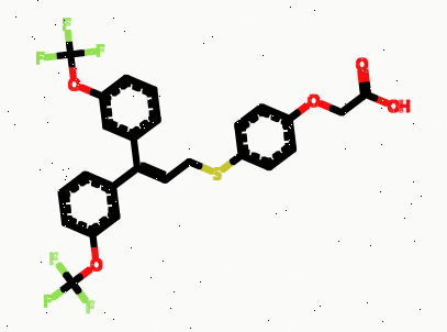 O=C(O)COc1ccc(SCC=C(c2cccc(OC(F)(F)F)c2)c2cccc(OC(F)(F)F)c2)cc1